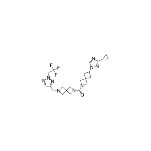 O=C(N1CC2(CC(n3cnc(C4CC4)n3)C2)C1)N1CC2(CN(Cc3cnn(CC(F)(F)F)n3)C2)C1